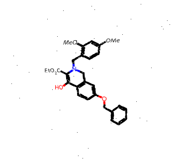 CCOC(=O)C1=C(O)c2ccc(OCc3ccccc3)cc2CN1Cc1ccc(OC)cc1OC